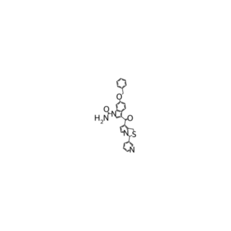 NC(=O)n1cc(C(=O)c2ccn3c2CSC3c2cccnc2)c2ccc(OCc3ccccc3)cc21